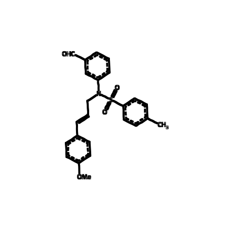 COc1ccc(/C=C/CN(c2cccc(C=O)c2)S(=O)(=O)c2ccc(C)cc2)cc1